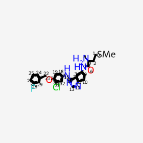 CSCC[C@H](N)C(=O)Nc1ccc2ncnc(Nc3ccc(OCc4cccc(F)c4)c(Cl)c3)c2c1